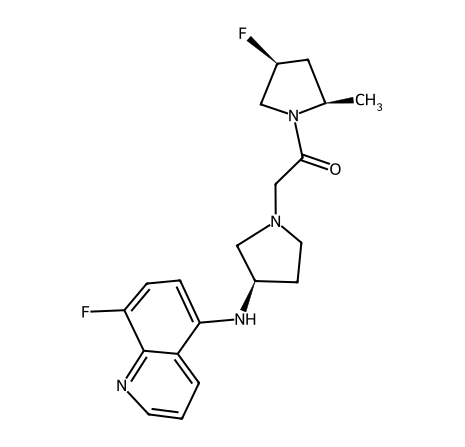 C[C@@H]1C[C@H](F)CN1C(=O)CN1CC[C@@H](Nc2ccc(F)c3ncccc23)C1